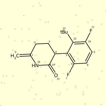 C=C1CCC(c2c(F)ccc(F)c2C(C)(C)C)C(=O)N1